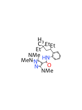 CCC(CC(C)(CC)CC)c1ccccc1NC(=O)c1c(NC)nn(NC)c1NC